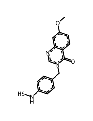 COc1ccc2c(=O)n(Cc3ccc(NS)cc3)cnc2c1